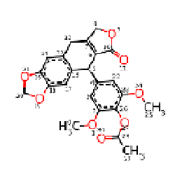 COc1cc([C@@H]2C3=C(COC3=O)Cc3cc4c(cc32)OCO4)cc(OC)c1OC(C)=O